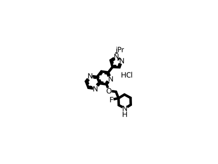 CC(C)n1cc(-c2cc3nccnc3c(OCC3(F)CCCNC3)n2)cn1.Cl